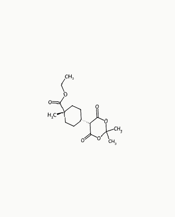 CCOC(=O)[C@]1(C)CC[C@H](C2C(=O)OC(C)(C)OC2=O)CC1